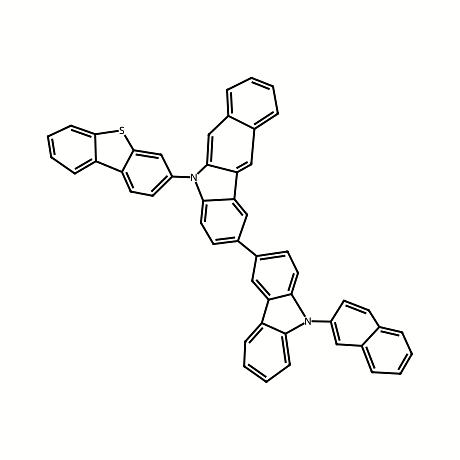 c1ccc2cc(-n3c4ccccc4c4cc(-c5ccc6c(c5)c5cc7ccccc7cc5n6-c5ccc6c(c5)sc5ccccc56)ccc43)ccc2c1